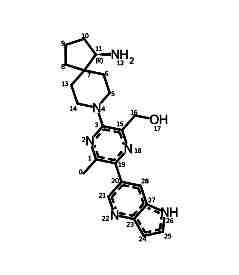 Cc1nc(N2CCC3(CCC[C@H]3N)CC2)c(CO)nc1-c1cnc2cc[nH]c2c1